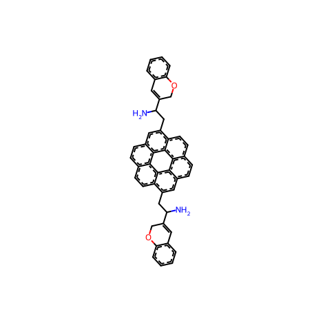 NC(Cc1cc2ccc3ccc4c(CC(N)C5=Cc6ccccc6OC5)cc5ccc6ccc1c1c6c5c4c3c21)C1=Cc2ccccc2OC1